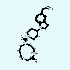 CCc1ccc2c(c1)CCN2C1CCN(C(=O)N2CCCOCC(=O)NCC2)CC1